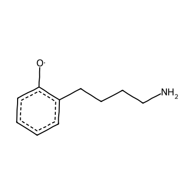 NCCCCc1ccccc1[O]